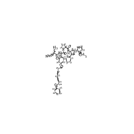 CN[C@@H](C)C(=O)N[C@H](C(=O)N1CCC[C@H]1C(=O)Nc1sc(-c2nccn2C)nc1-c1ccccc1)c1ccc(OCC#CC#CCOc2ccccc2)cc1